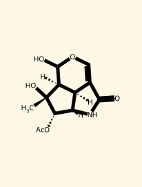 CC(=O)O[C@H]1[C@H]2NC(=O)C3=COC(O)[C@@H]([C@@H]32)[C@@]1(C)O